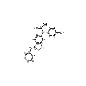 O=C(O)N(c1ccc(Cl)cc1)c1ccc2c(c1)CCN2Cc1ccccc1